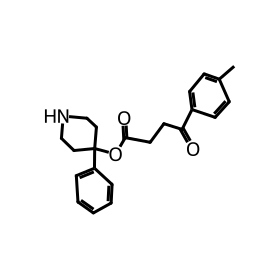 Cc1ccc(C(=O)CCC(=O)OC2(c3ccccc3)CCNCC2)cc1